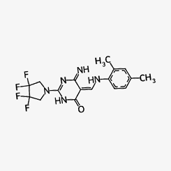 Cc1ccc(N/C=C2\C(=N)N=C(N3CC(F)(F)C(F)(F)C3)NC2=O)c(C)c1